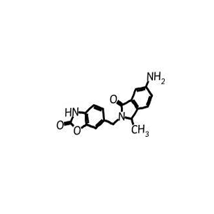 CC1c2ccc(N)cc2C(=O)N1Cc1ccc2[nH]c(=O)oc2c1